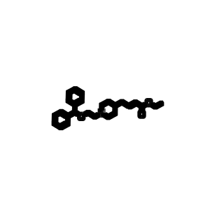 CCOC(=O)C=CCC1CCN(CCOC(c2ccccc2)c2ccccc2)CC1